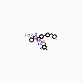 Cc1cc(C)c(NC(=O)Nc2cc(-c3ccc(CC4CCOCC4)cc3)ccc2C(=O)N[C@H](C(=O)O)C2(C(C)(C)C)CCCCC2)c(C)c1